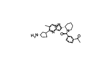 CC(=O)c1cccc(C(=O)N2CCCC[C@H]2c2cc3nc(C4CC[C@H](N)C4)c(C)cn3n2)c1